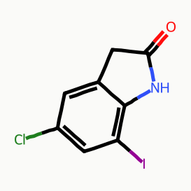 O=C1Cc2cc(Cl)cc(I)c2N1